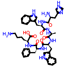 C[C@H](NC(=O)[C@@H](Cc1c[nH]c2ccccc12)NC(=O)[C@@H](N)Cc1c[nH]cn1)C(=O)N[C@@H](Cc1c[nH]c2ccccc12)C(=O)N[C@H](Cc1ccccc1)C(=O)N[C@@H](CCCCN)C(=O)O